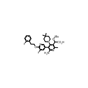 Cc1nc(N)c(-c2cnc(OCCc3ccccc3F)c(F)c2)c(N2CCC(C)(C)CC2)c1C(OC(C)(C)C)C(=O)O